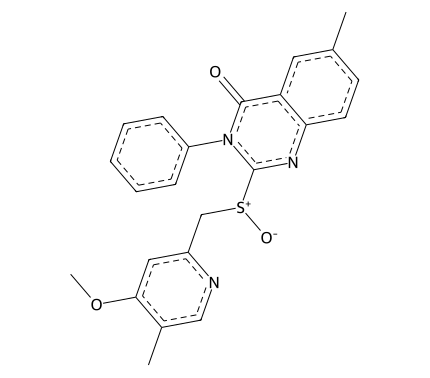 COc1cc(C[S+]([O-])c2nc3ccc(C)cc3c(=O)n2-c2ccccc2)ncc1C